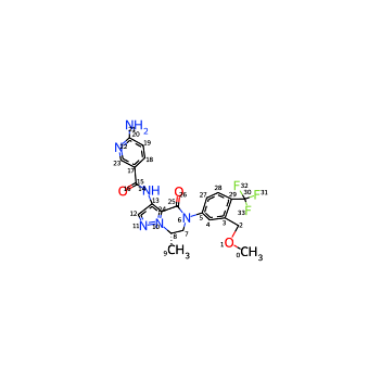 COCc1cc(N2C[C@H](C)n3ncc(NC(=O)c4ccc(N)nc4)c3C2=O)ccc1C(F)(F)F